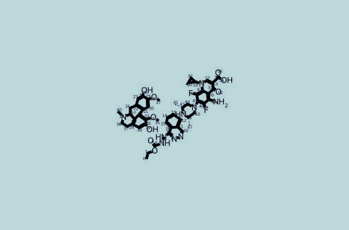 CCOC(=O)NNc1nncc2ccccc12.COc1cc2c(cc1O)CC1c3c(cc(O)c(OC)c3-2)CCN1C.C[C@@H]1CN(c2c(F)c(N)c3c(=O)c(C(=O)O)cn(C4CC4)c3c2F)C[C@H](C)N1